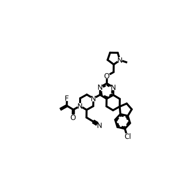 C=C(F)C(=O)N1CCN(c2nc(OCC3CCCN3C)nc3c2CCC2(CCc4cc(Cl)ccc42)C3)CC1CC#N